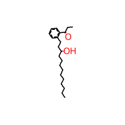 CCCCCCCCCCC(O)CCc1ccccc1C(=O)CC